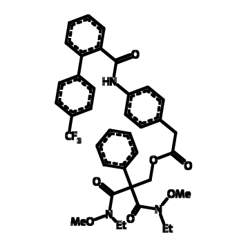 CCN(OC)C(=O)C(COC(=O)Cc1ccc(NC(=O)c2ccccc2-c2ccc(C(F)(F)F)cc2)cc1)(C(=O)N(CC)OC)c1ccccc1